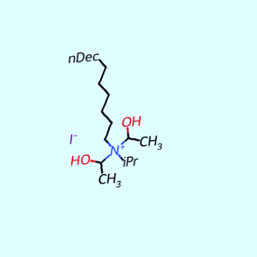 CCCCCCCCCCCCCCCC[N+](C(C)C)(C(C)O)C(C)O.[I-]